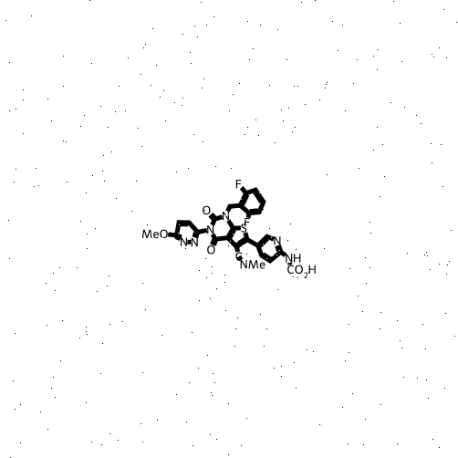 CNCc1c(-c2ccc(NC(=O)O)nc2)sc2c1c(=O)n(-c1ccc(OC)nn1)c(=O)n2Cc1c(F)cccc1F